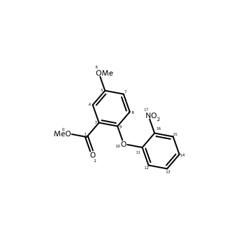 COC(=O)c1cc(OC)ccc1Oc1ccccc1[N+](=O)[O-]